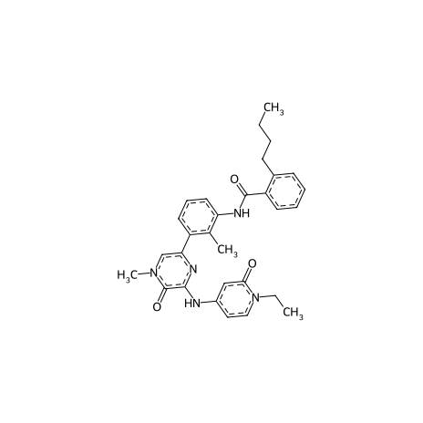 CCCCc1ccccc1C(=O)Nc1cccc(-c2cn(C)c(=O)c(Nc3ccn(CC)c(=O)c3)n2)c1C